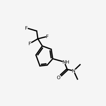 CN(C)C(=O)Nc1cccc(C(F)(F)CF)c1